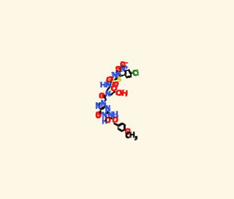 COc1ccc(COC(=O)Nc2nc3c(ncn3CC(=O)N(CCNS(=O)(=O)c3nnc(-c4ccc(Cl)cc4[N+](=O)[O-])s3)CC(=O)O)c(=O)[nH]2)cc1